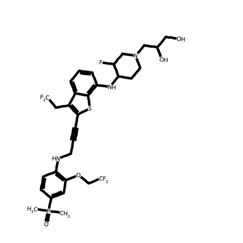 CP(C)(=O)c1ccc(NCC#Cc2sc3c(NC4CCN(CC(O)CO)CC4F)cccc3c2CC(F)(F)F)c(OCC(F)(F)F)c1